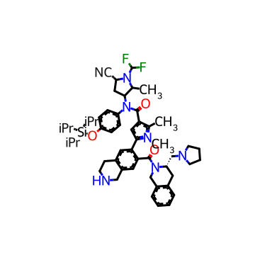 Cc1c(C(=O)N(c2ccc(O[Si](C(C)C)(C(C)C)C(C)C)cc2)C2CC(C#N)N(C(F)F)C2C)cc(-c2cc3c(cc2C(=O)N2Cc4ccccc4C[C@H]2CN2CCCC2)CNCC3)n1C